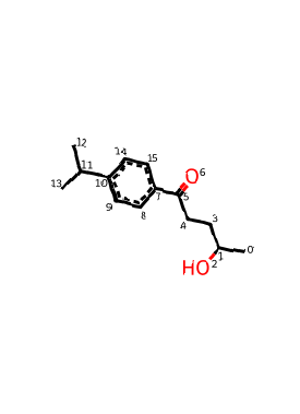 CC(O)CCC(=O)c1ccc(C(C)C)cc1